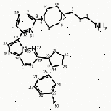 NCCCN1CCN(c2cccc(-c3cnc4ccc(C5CCC[C@@H]5c5cccc(F)c5)nn34)n2)CC1